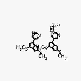 CSC1=CC2=C(c3cncnc3)C=C(SC)C2=C1.CSC1=CC2=C(c3cncnc3)C=C(SC)C2=C1.[Cl-].[Cl-].[Zr+2]